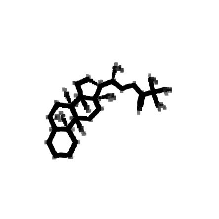 C[C@H](CCC(=O)C(C)(C)O)[C@H]1CC[C@H]2[C@@H]3CCC4CCCC[C@]4(C)[C@H]3CC[C@]12C